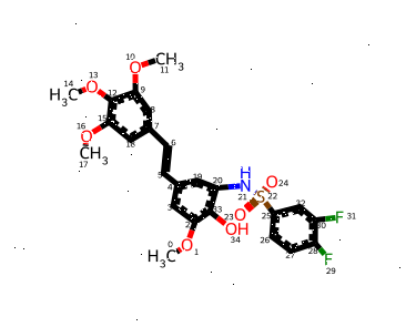 COc1cc(C=Cc2cc(OC)c(OC)c(OC)c2)cc(NS(=O)(=O)c2ccc(F)c(F)c2)c1O